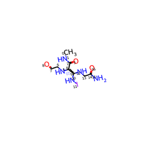 CNC(=O)/C(NCC=O)=C(/NI)NCC(N)=O